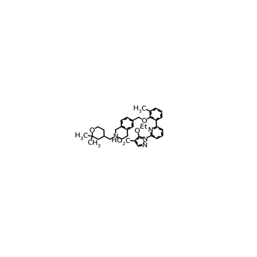 CCOc1c(C(=O)O)cnn1-c1cccc(-c2cccc(C)c2OCc2ccc3c(c2)CCN(CC2CCOC(C)(C)C2)C3)n1